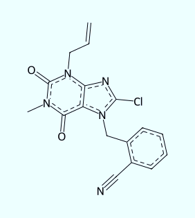 C=CCn1c(=O)n(C)c(=O)c2c1nc(Cl)n2Cc1ccccc1C#N